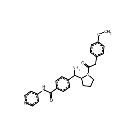 COc1ccc(CC(=O)N2CCCC2C(N)c2ccc(C(=O)Nc3ccncc3)cc2)cc1